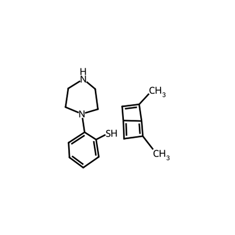 Cc1cc2cc(C)c1-2.Sc1ccccc1N1CCNCC1